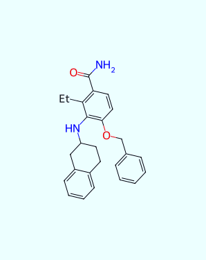 CCc1c(C(N)=O)ccc(OCc2ccccc2)c1NC1CCc2ccccc2C1